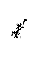 C#CCOc1c(F)cc(C(=O)NC(C)C(C)(C)O)cc1F